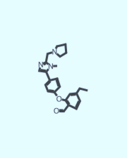 CCc1ccc(C=O)c(Oc2ccc(-c3cnc(CN4CCCC4)n3C)cc2)c1